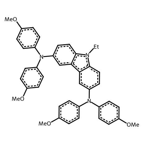 CCn1c2ccc(N(c3ccc(OC)cc3)c3ccc(OC)cc3)cc2c2cc(N(c3ccc(OC)cc3)c3ccc(OC)cc3)ccc21